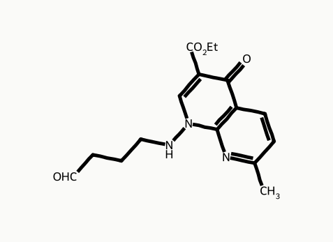 CCOC(=O)c1cn(NCCCC=O)c2nc(C)ccc2c1=O